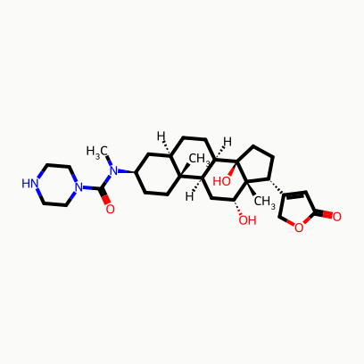 CN(C(=O)N1CCNCC1)[C@@H]1CC[C@]2(C)[C@H](CC[C@@H]3[C@H]2C[C@@H](O)[C@@]2(C)[C@@H](C4=CC(=O)OC4)CC[C@@]32O)C1